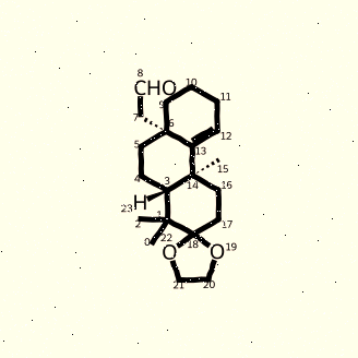 CC1(C)[C@@H]2CC[C@@]3(CC=O)CCCC=C3[C@@]2(C)CCC12OCCO2